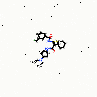 CCN(CC)c1ccc(NC(=O)c2c(NC(=O)C3=CC=CC(CCl)C3)sc3c2CCCC3)cc1